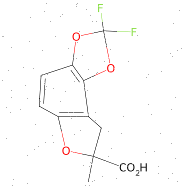 CC1(C(=O)O)Cc2c(ccc3c2OC(F)(F)O3)O1